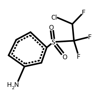 Nc1cccc(S(=O)(=O)C(F)(F)C(F)Cl)c1